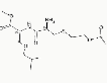 COC(=O)[C@H](COCC(C)C)NC(=O)[C@@H](N)CSCCOC(C)=O